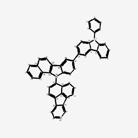 c1ccc(-n2c3ccccc3c3cc(-c4ccc5c(c4)c4ccc6ccccc6c4n5-c4ccc5c6c(cccc46)-c4cnccc4-5)ccc32)cc1